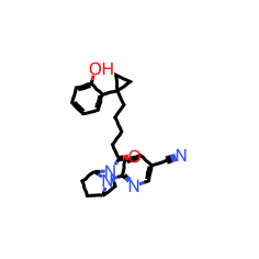 N#Cc1ccc(N2C3CCC2N(C(=O)CCCCC2(c4ccccc4O)CC2)C3)nc1